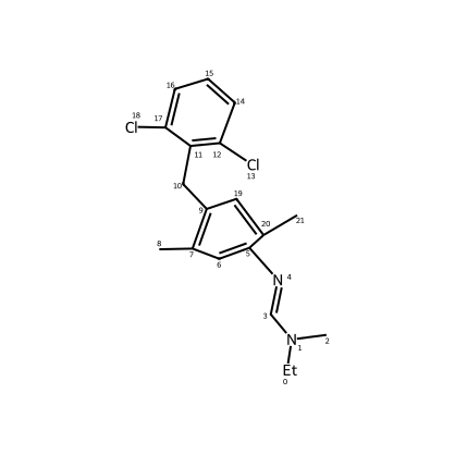 CCN(C)C=Nc1cc(C)c(Cc2c(Cl)cccc2Cl)cc1C